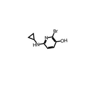 Oc1ccc(NC2CC2)nc1Br